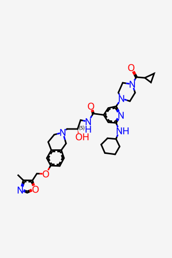 Cc1ncoc1COc1ccc2c(c1)CCN(C[C@@H](O)CNC(=O)c1cc(NC3CCCCC3)nc(N3CCN(C(=O)C4CC4)CC3)c1)C2